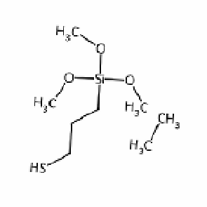 CC.CO[Si](CCCS)(OC)OC